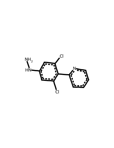 NNc1cc(Cl)c(-c2ccccn2)c(Cl)c1